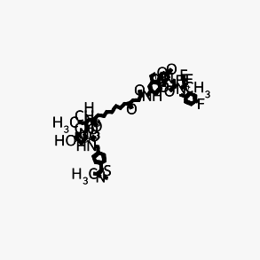 Cc1ncsc1-c1ccc(CNC(=O)[C@@H]2C[C@@H](O)CN2C(=O)C(NC(=O)CCCCCCCC(=O)CCC(=O)Nc2ccc3c(c2)CC[C@@]32OC(=O)N(CC(=O)N(Cc3ccc(F)cc3)[C@@H](C)C(F)(F)F)C2=O)C(C)(C)C)cc1